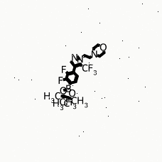 CC1(C)OB(c2ccc(-c3cnn(CCN4CCOCC4)c3C(F)(F)F)c(F)c2F)OC1(C)C